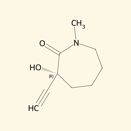 C#C[C@]1(O)CCCCN(C)C1=O